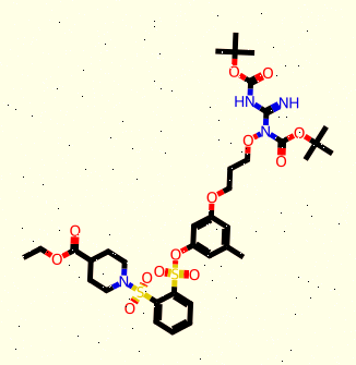 CCOC(=O)C1CCN(S(=O)(=O)c2ccccc2S(=O)(=O)Oc2cc(C)cc(OCCCON(C(=N)NC(=O)OC(C)(C)C)C(=O)OC(C)(C)C)c2)CC1